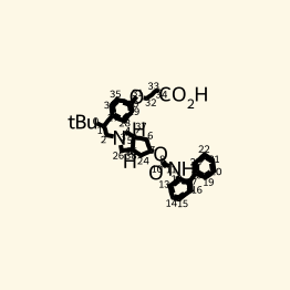 CC(C)(C)C(CN1C[C@H]2CC(OC(=O)Nc3ccccc3-c3ccccc3)C[C@H]2C1)c1ccc(OCCC(=O)O)cc1